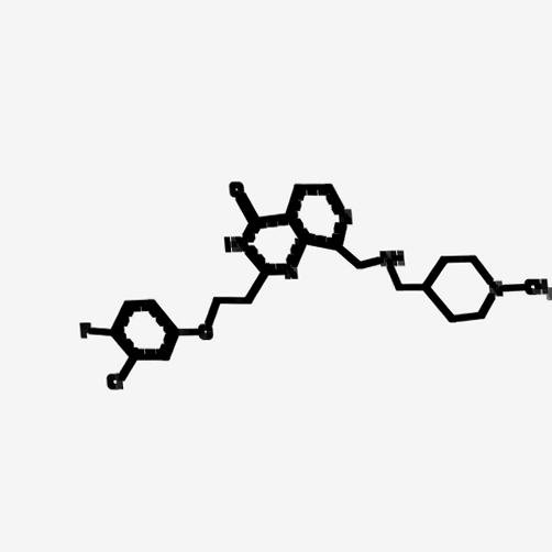 CN1CCC(CNCc2nccc3c(=O)[nH]c(CCOc4ccc(F)c(Cl)c4)nc23)CC1